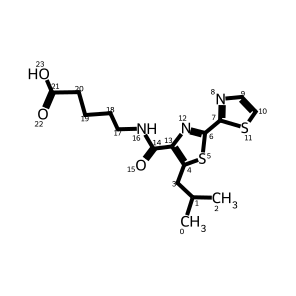 CC(C)Cc1sc(-c2nccs2)nc1C(=O)NCCCCC(=O)O